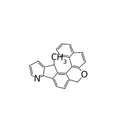 CC1c2cccnc2-c2ccc3c(c21)-c1c(ccc2ccccc12)OC3